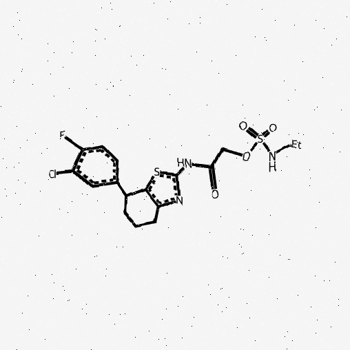 CCNS(=O)(=O)OCC(=O)Nc1nc2c(s1)C(c1ccc(F)c(Cl)c1)CCC2